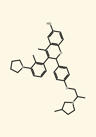 CC1=C(c2cccc(N3CCCC3)c2C)C(c2ccc(OCC(C)N3CCC(C)C3)cc2)Oc2ccc(O)cc21